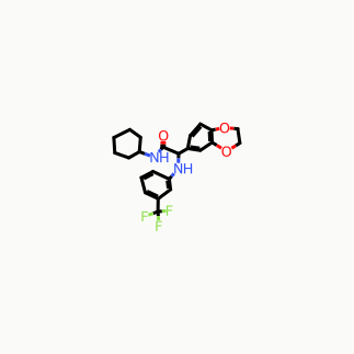 O=C(NC1CCCCC1)C(Nc1cccc(C(F)(F)F)c1)c1ccc2c(c1)OCCO2